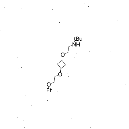 CCOCCO[C@H]1C[C@H](OCCNC(C)(C)C)C1